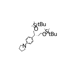 CC(C)(C)[Si](C)(C)OCC[C@@H](CO[Si](C)(C)C(C)(C)C)c1ccc(N2CCCC2)cc1